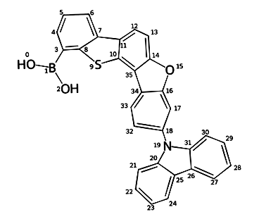 OB(O)c1cccc2c1sc1c2ccc2oc3cc(-n4c5ccccc5c5ccccc54)ccc3c21